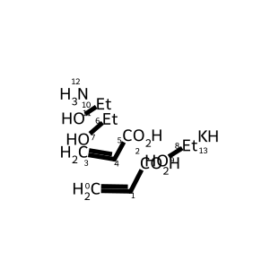 C=CC(=O)O.C=CC(=O)O.CCO.CCO.CCO.N.[KH]